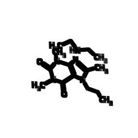 CCCn1c(C)nc2c1c(=O)n(C)c(=O)n2C.CCNCC